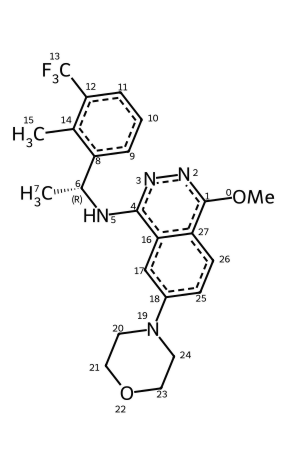 COc1nnc(N[C@H](C)c2cccc(C(F)(F)F)c2C)c2cc(N3CCOCC3)ccc12